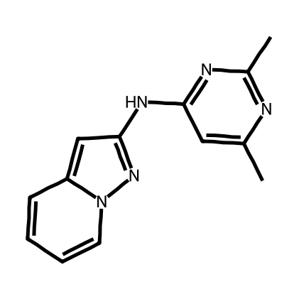 Cc1cc(Nc2cc3ccccn3n2)nc(C)n1